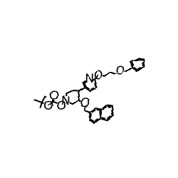 CC(C)(C)OC(=O)ON1CCC(c2ccc(OCCCOCc3ccccc3)nc2)C(OCc2ccc3ccccc3c2)C1